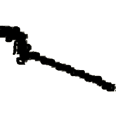 O=CCOCCOCCOCCOCCOCCOCCOCCOCCOCCOCCc1cc(Cl)cc(NC(=O)NCc2ccc3c(c2)CN(C2CCC(=O)NC2=O)C3=O)c1